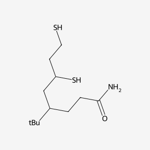 CC(C)(C)C(CCC(N)=O)CC(S)CCS